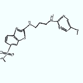 CNS(=O)(=O)c1ccc2nc(NCCCNc3ncc(SC)cn3)sc2c1